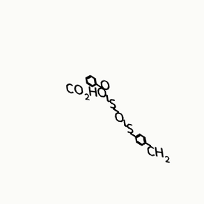 C=Cc1ccc(CSCCOCCSCCOC(=O)c2ccccc2C(=O)O)cc1